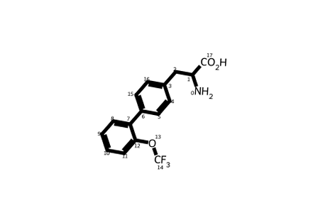 NC(Cc1ccc(-c2ccccc2OC(F)(F)F)cc1)C(=O)O